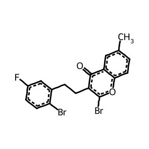 Cc1ccc2oc(Br)c(CCc3cc(F)ccc3Br)c(=O)c2c1